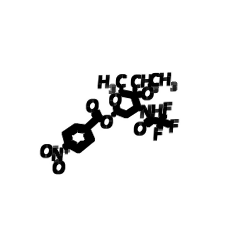 CO[C@]1(C)[C@@H](NC(=O)C(F)(F)F)C[C@@H](OC(=O)c2ccc([N+](=O)[O-])cc2)O[C@@H]1C